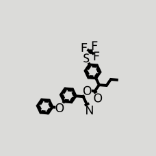 CCCC(C(=O)OC(C#N)c1cccc(Oc2ccccc2)c1)c1ccc(SC(F)(F)F)cc1